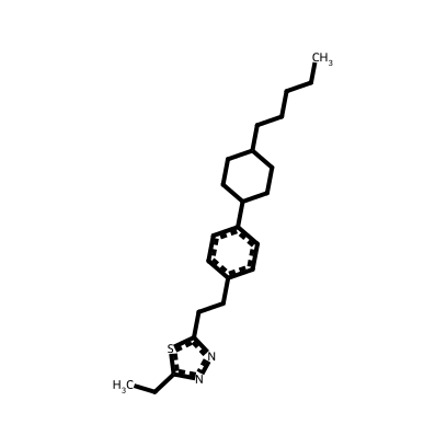 CCCCCC1CCC(c2ccc(CCc3nnc(CC)s3)cc2)CC1